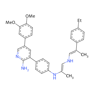 CCc1ccc(/C(C)=C/N/C=C(\C)Nc2ccc(-c3cc(-c4ccc(OC)c(OC)c4)cnc3N)cc2)cc1